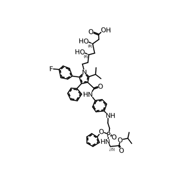 CC(C)OC(=O)[C@H](C)NP(=O)(CCNc1ccc(NC(=O)c2c(-c3ccccc3)c(-c3ccc(F)cc3)n(CC[C@@H](O)C[C@@H](O)CC(=O)O)c2C(C)C)cc1)Oc1ccccc1